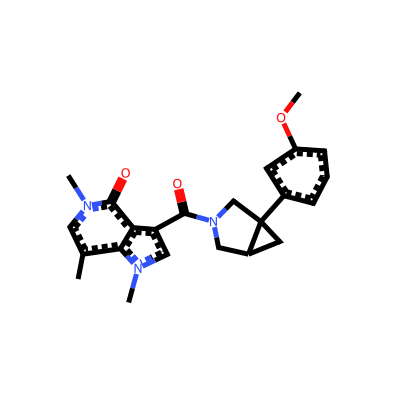 COc1cccc(C23CC2CN(C(=O)c2cn(C)c4c(C)cn(C)c(=O)c24)C3)c1